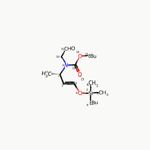 C[C@@H](C=CO[Si](C)(C)C(C)(C)C)N(CC=O)C(=O)OC(C)(C)C